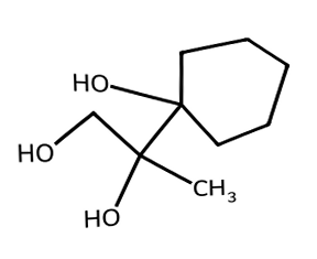 CC(O)(CO)C1(O)CCCCC1